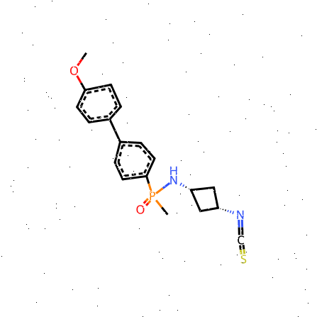 COc1ccc(-c2ccc(P(C)(=O)N[C@H]3C[C@@H](N=C=S)C3)cc2)cc1